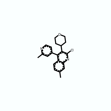 Cc1ccc2c(-c3ccnc(C)c3)c(C3CCOCC3)c(Cl)nc2c1